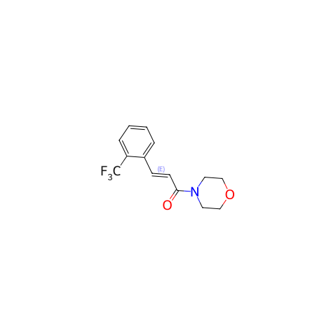 O=C(/C=C/c1ccccc1C(F)(F)F)N1CCOCC1